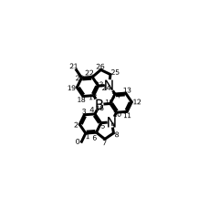 Cc1ccc2c3c1CCN3c1cccc3c1B2c1ccc(C)c2c1N3CC2